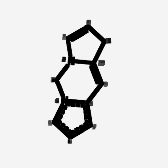 C1=CN2Cn3cccc3C=C2C1